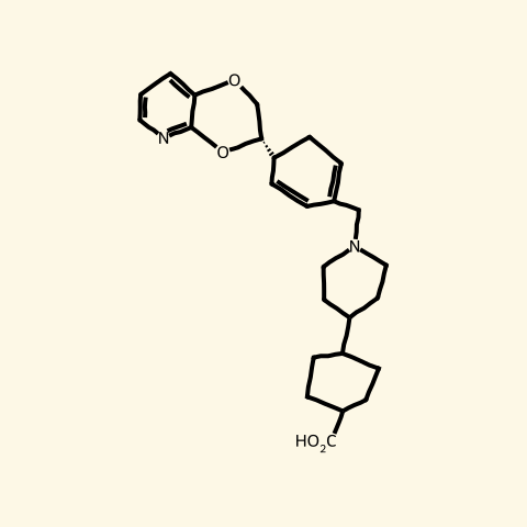 O=C(O)C1CCC(C2CCN(CC3=CCC([C@H]4COc5cccnc5O4)C=C3)CC2)CC1